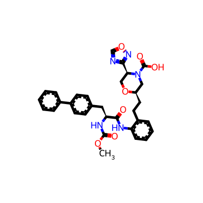 COC(=O)N[C@@H](Cc1ccc(-c2ccccc2)cc1)C(=O)Nc1ccccc1CC[C@@H]1CN(C(=O)O)[C@H](c2ncon2)CO1